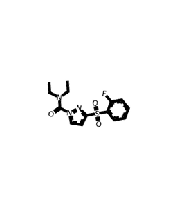 CCN(CC)C(=O)n1ccc(S(=O)(=O)c2ccccc2F)n1